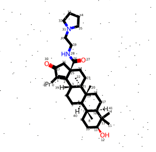 CC(C)C1=C2[C@H]3CC[C@@H]4[C@@]5(C)CC[C@H](O)C(C)(C)[C@@H]5CC[C@@]4(C)[C@]3(C)CC[C@@]2(C(=O)NCCN2CCCC2)CC1=O